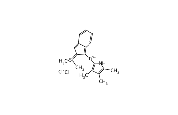 Cc1[nH][c]([Ti+2][C]2=c3ccccc3=CC2=[Si](C)C)c(C)c1C.[Cl-].[Cl-]